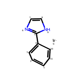 [Ir].c1ccc(-c2ncc[nH]2)cc1